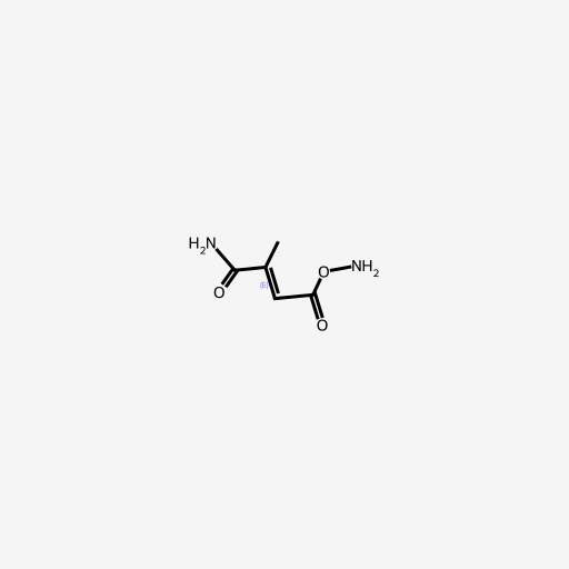 C/C(=C\C(=O)ON)C(N)=O